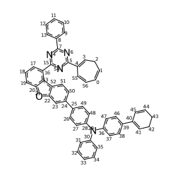 C1=CCC=C(c2nc(-c3ccccc3)nc(-c3cccc4oc5cc(-c6ccc(N(c7ccccc7)c7ccc(C8=CCCC=C8)cc7)cc6)ccc5c34)n2)C=C1